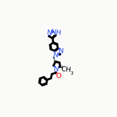 C[C@H]1C[C@@H](Cn2cnc3cc(-c4cn[nH]c4)ccc32)CN1C(=O)CCc1ccccc1